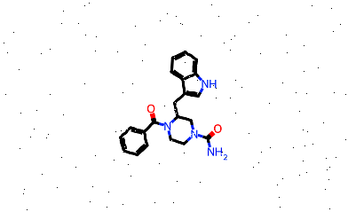 NC(=O)N1CCN(C(=O)c2ccccc2)C(Cc2c[nH]c3ccccc23)C1